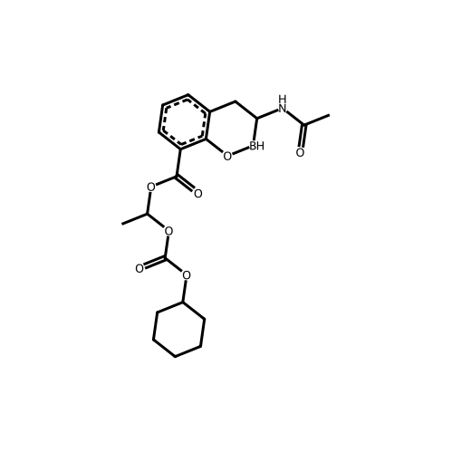 CC(=O)NC1BOc2c(cccc2C(=O)OC(C)OC(=O)OC2CCCCC2)C1